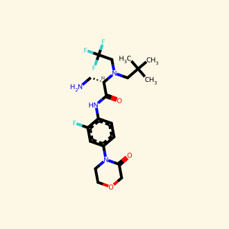 CC(C)(C)CN(CC(F)(F)F)[C@@H](CN)C(=O)Nc1ccc(N2CCOCC2=O)cc1F